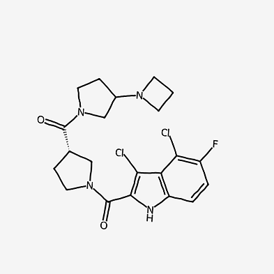 O=C(c1[nH]c2ccc(F)c(Cl)c2c1Cl)N1CC[C@H](C(=O)N2CCC(N3CCC3)C2)C1